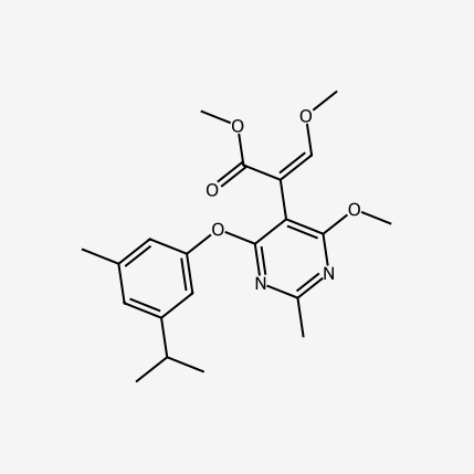 COC=C(C(=O)OC)c1c(OC)nc(C)nc1Oc1cc(C)cc(C(C)C)c1